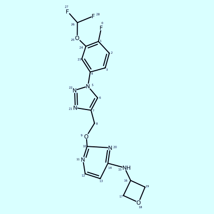 Fc1ccc(-n2cc(COc3nccc(NC4COC4)n3)nn2)cc1OC(F)F